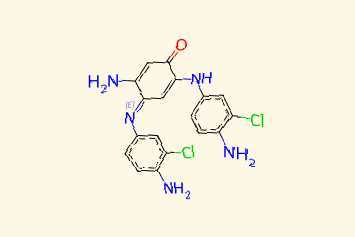 NC1=CC(=O)C(Nc2ccc(N)c(Cl)c2)=C/C1=N\c1ccc(N)c(Cl)c1